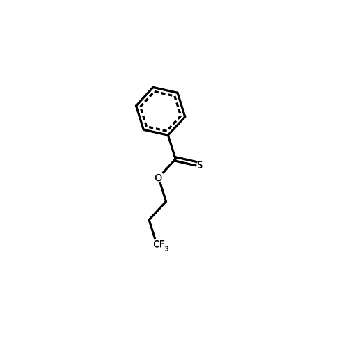 FC(F)(F)CCOC(=S)c1ccccc1